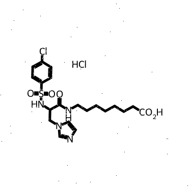 Cl.O=C(O)CCCCCCCNC(=O)C(Cn1ccnc1)NS(=O)(=O)c1ccc(Cl)cc1